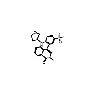 Cn1cc(-c2cc(S(C)(=O)=O)ccc2NC2CCOC2)c2ccccc2c1=O